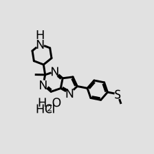 CSc1ccc(C2=CC3=NC(C)(C4CCNCC4)N=CC3=N2)cc1.Cl.O